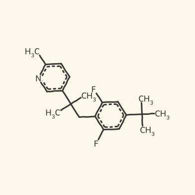 Cc1ccc(C(C)(C)Cc2c(F)cc(C(C)(C)C)cc2F)cn1